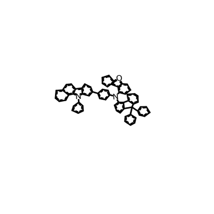 c1ccc(-n2c3cc(-c4ccc(N(c5cccc6c5-c5ccccc5C6(c5ccccc5)c5ccccc5)c5cccc6oc7ccccc7c56)cc4)ccc3c3ccc4ccccc4c32)cc1